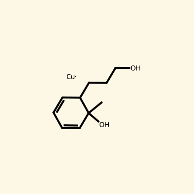 CC1(O)C=CC=CC1CCCO.[Cu]